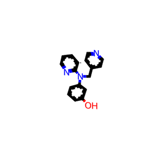 Oc1cccc(N(Cc2ccncc2)c2[c]cccn2)c1